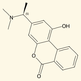 C[C@@H](c1cc(O)c2c(c1)oc(=O)c1ccccc12)N(C)C